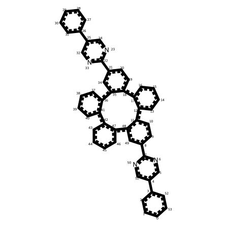 c1ccc(-c2cnc(-c3ccc4c5ccccc5c5ccc(-c6ncc(-c7ccccc7)cn6)cc5c5ccccc5c5ccccc5c4c3)nc2)cc1